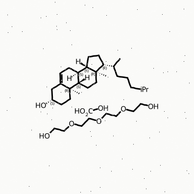 CC(C)CCCC(C)[C@H]1CC[C@H]2[C@@H]3CC=C4C[C@@H](O)CC[C@]4(C)[C@H]3CC[C@]12C.O=C(O)O.OCCOCCOCCOCCO